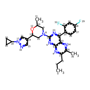 CCCc1nc2nc(N3CC(C)OC(c4cnn(C5CC5)c4)C3)nc(-c3ccc(F)cc3F)c2nc1C